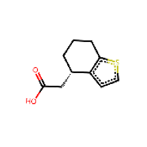 O=C(O)C[C@@H]1CCCc2sccc21